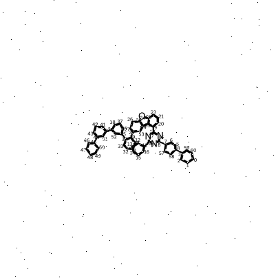 c1ccc(-c2ccc(-c3nc(-c4ccccc4)nc(-c4cccc5oc6ccc(-c7ccccc7-c7cccc(-c8cccc(-c9ccccc9)c8)c7)cc6c45)n3)cc2)cc1